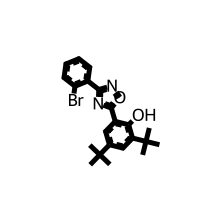 CC(C)(C)c1cc(-c2nc(-c3ccccc3Br)no2)c(O)c(C(C)(C)C)c1